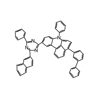 c1ccc(-c2cccc(-c3ccc4c5c(cccc35)-c3cc(-c5nc(-c6ccccc6)nc(-c6ccc7ccccc7c6)n5)ccc3N4c3ccccc3)c2)cc1